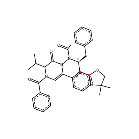 CC(=O)N([C@@H](Cc1ccccc1)C(=O)C1=NC(C)(C)CO1)N1C(=O)C(C(C)C)N(C(=O)c2ccccn2)C=C1c1ccccc1